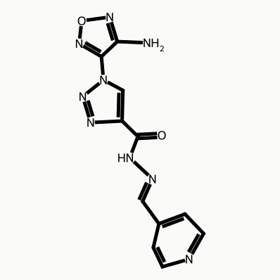 Nc1nonc1-n1cc(C(=O)NN=Cc2ccncc2)nn1